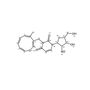 Cc1ccccconc1Cn1c(=O)ccn(C2OC(CO)C(O)C2N=O)c1=O